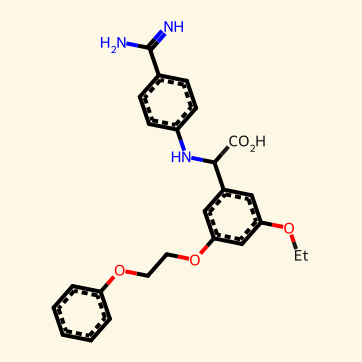 CCOc1cc(OCCOc2ccccc2)cc(C(Nc2ccc(C(=N)N)cc2)C(=O)O)c1